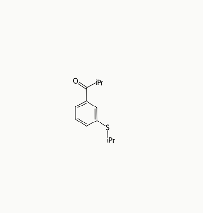 CC(C)Sc1cccc(C(=O)C(C)C)c1